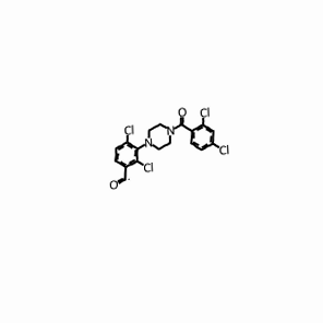 O=[C]c1ccc(Cl)c(N2CCN(C(=O)c3ccc(Cl)cc3Cl)CC2)c1Cl